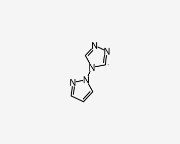 [c]1nncn1-n1cccn1